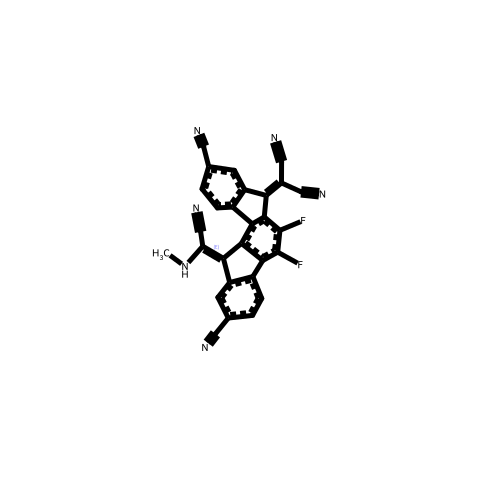 CN/C(C#N)=C1\c2cc(C#N)ccc2-c2c(F)c(F)c3c(c21)-c1ccc(C#N)cc1C3=C(C#N)C#N